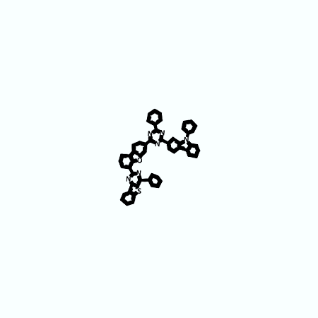 c1ccc(-c2nc(-c3ccc4c(c3)oc3c(-c5nc(-c6ccccc6)c6sc7ccccc7c6n5)cccc34)nc(-c3ccc4c5ccccc5n(-c5ccccc5)c4c3)n2)cc1